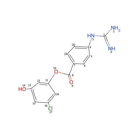 N=C(N)Nc1ccc(C(=O)Oc2cc(O)cc(Cl)c2)cc1